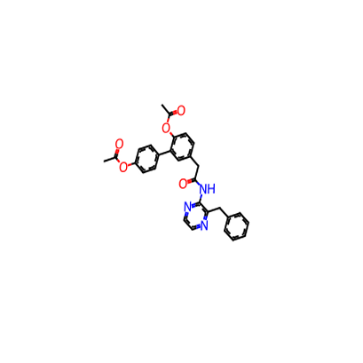 CC(=O)Oc1ccc(-c2cc(CC(=O)Nc3nccnc3Cc3ccccc3)ccc2OC(C)=O)cc1